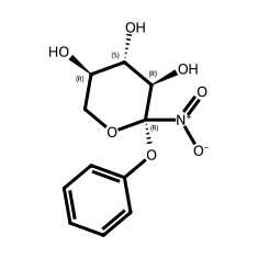 O=[N+]([O-])[C@@]1(Oc2ccccc2)OC[C@@H](O)[C@H](O)[C@H]1O